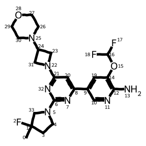 CC1(F)CCN(c2nc(-c3cnc(N)c(OC(F)F)c3)cc(N3CC(N4CCOCC4)C3)n2)C1